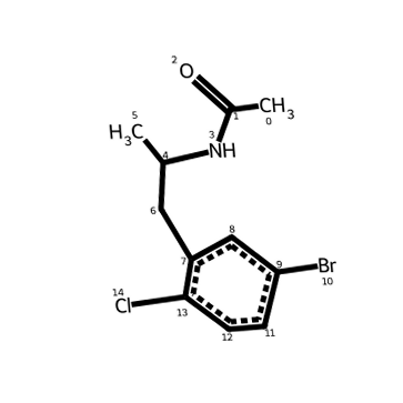 CC(=O)NC(C)Cc1cc(Br)ccc1Cl